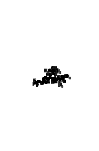 COC(=O)C(C)(C)n1cc(C(N[S+]([O-])C(C)(C)C)c2ccc(OCC(F)(F)F)cn2)nn1